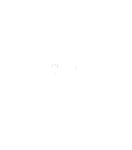 CC(C)C1CNC[C@@](C)(F)C1